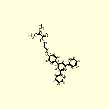 C=C(C)C(=O)OCCCOc1ccc(-c2cc(-c3ccccn3)nc(-c3ccccn3)c2)cc1